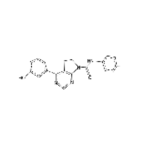 Cc1ccc(NC(=O)N2CCc3c(-c4cccc(O)c4)ncnc32)cc1